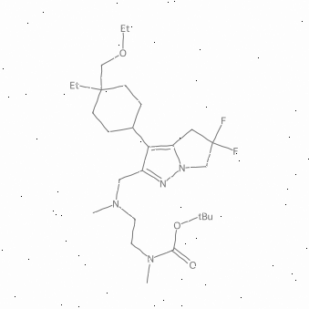 CCOCC1(CC)CCC(c2c(CN(C)CCN(C)C(=O)OC(C)(C)C)nn3c2CC(F)(F)C3)CC1